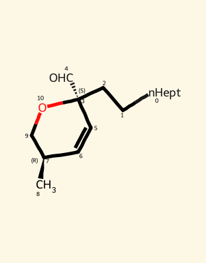 CCCCCCCCC[C@@]1(C=O)C=C[C@@H](C)CO1